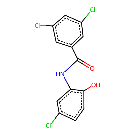 O=C(Nc1cc(Cl)ccc1O)c1cc(Cl)cc(Cl)c1